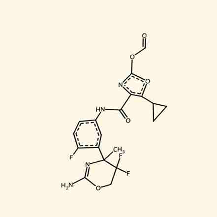 CC1(c2cc(NC(=O)c3nc(OC=O)oc3C3CC3)ccc2F)N=C(N)OCC1(F)F